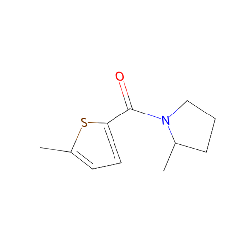 Cc1ccc(C(=O)N2CCCC2C)s1